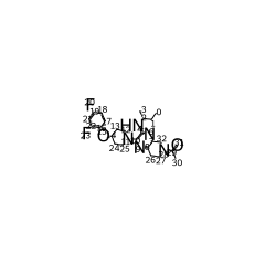 CC[C@H](C)Nc1nc2c(nc1N1CCC(Oc3ccc(F)cc3F)CC1)CCN(C(C)=O)C2